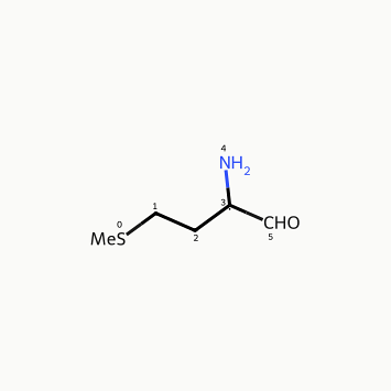 CSCC[C](N)C=O